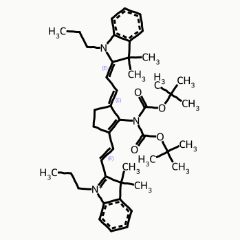 CCCN1/C(=C/C=C2\CCC(/C=C/C3=[N+](CCC)c4ccccc4C3(C)C)=C2N(C(=O)OC(C)(C)C)C(=O)OC(C)(C)C)C(C)(C)c2ccccc21